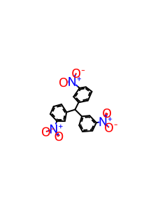 O=[N+]([O-])c1cccc(C(c2cccc([N+](=O)[O-])c2)c2cccc([N+](=O)[O-])c2)c1